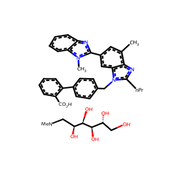 CCCc1nc2c(C)cc(-c3nc4ccccc4n3C)cc2n1Cc1ccc(-c2ccccc2C(=O)O)cc1.CNC[C@H](O)[C@@H](O)[C@H](O)[C@H](O)CO